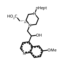 CCCCCCCN1CCN(CC(O)c2ccnc3ccc(OC)cc23)[C@H](CC(=O)O)C1